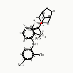 Cc1c(Nc2ccc(C#N)cc2Cl)ncnc1OCC1C2CCC1CN(C(=O)OC(C)C)C2